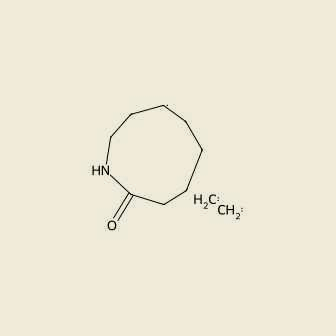 O=C1CCCC[CH]CCN1.[CH2].[CH2]